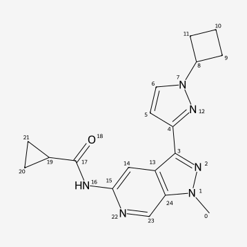 Cn1nc(-c2ccn(C3CCC3)n2)c2cc(NC(=O)C3CC3)ncc21